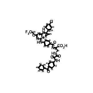 O=C(NC/C(=N/C(=O)c1ccc(Nc2nc(NC3(c4ccc(Cl)cc4)CC3)nc(OCC(F)(F)F)n2)cc1)C(=O)O)C(=O)Nc1ccc(C(=O)c2ccccc2)cc1